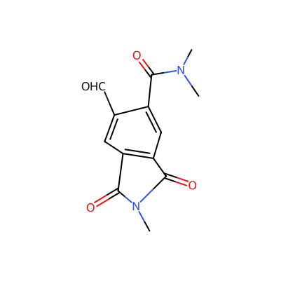 CN(C)C(=O)c1cc2c(cc1C=O)C(=O)N(C)C2=O